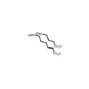 CCCCCCCCCCCCCC(=O)O.CCCCCCCCCCCCCC=CC(=O)O